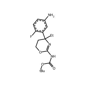 CCC1(c2cc(N)ccc2F)CCOC(NC(=O)OC(C)(C)C)=N1